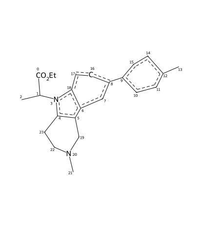 CCOC(=O)C(C)n1c2c(c3cc(-c4ccc(C)cc4)ccc31)CN(C)CC2